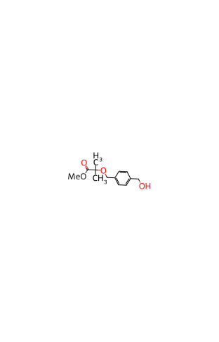 COC(=O)C(C)(C)OCc1ccc(CO)cc1